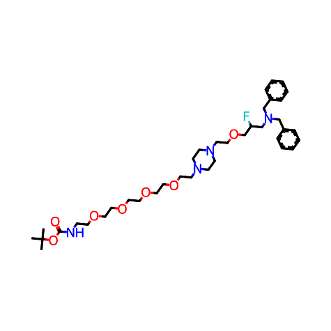 CC(C)(C)OC(=O)NCCOCCOCCOCCOCCN1CCN(CCOCC(F)CN(Cc2ccccc2)Cc2ccccc2)CC1